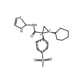 CS(=O)(=O)c1ccc([C@@]2(C(=O)NC3NC=CS3)C[C@H]2C2CCCCC2)cc1